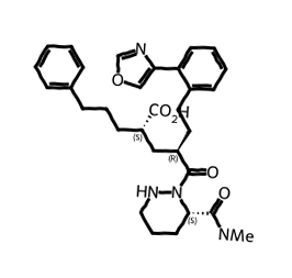 CNC(=O)[C@@H]1CCCNN1C(=O)[C@H](CCc1ccccc1-c1cocn1)C[C@H](CCCc1ccccc1)C(=O)O